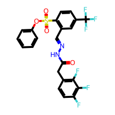 O=C(Cc1ccc(F)c(F)c1F)NN=Cc1cc(C(F)(F)F)ccc1S(=O)(=O)Oc1ccccc1